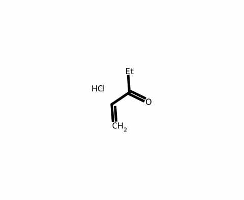 C=CC(=O)CC.Cl